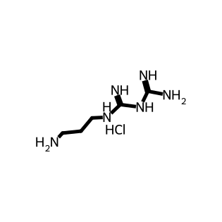 Cl.N=C(N)NC(=N)NCCCN